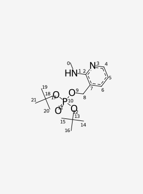 CNc1ncccc1COP(=O)(OC(C)(C)C)OC(C)(C)C